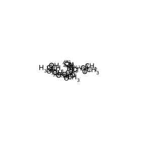 C=C(C)C(=O)OCCc1ccc(OC(=O)C(C)(C)C(=O)OCCOc2ccc(C(=O)C(C)(C)O)cc2)c(-n2nc3ccccc3n2)c1